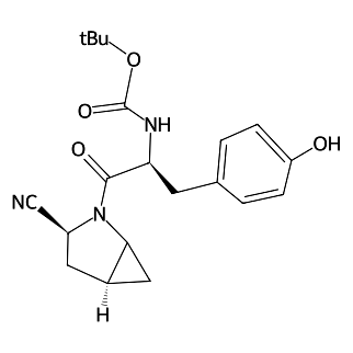 CC(C)(C)OC(=O)N[C@@H](Cc1ccc(O)cc1)C(=O)N1C2C[C@H]2C[C@H]1C#N